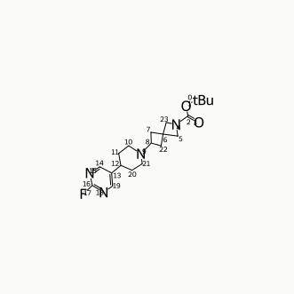 CC(C)(C)OC(=O)N1CC2(CC(N3CCC(c4cnc(F)nc4)CC3)C2)C1